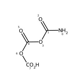 NC(=O)OC(=O)OC(=O)O